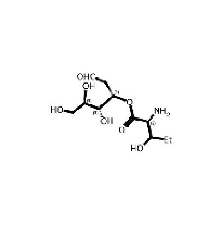 CCC(O)[C@H](N)C(=O)O[C@H](CC=O)[C@H](O)[C@H](O)CO